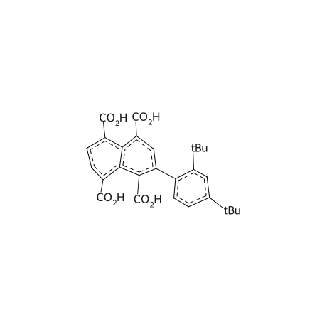 CC(C)(C)c1ccc(-c2cc(C(=O)O)c3c(C(=O)O)ccc(C(=O)O)c3c2C(=O)O)c(C(C)(C)C)c1